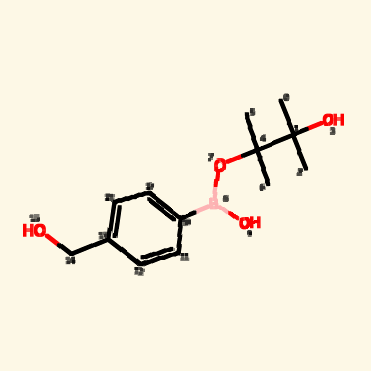 CC(C)(O)C(C)(C)OB(O)c1ccc(CO)cc1